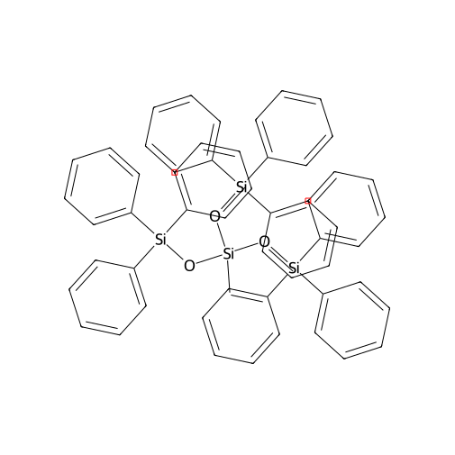 C[Si](O[Si](c1ccccc1)(c1ccccc1)c1ccccc1)(O[Si](c1ccccc1)(c1ccccc1)c1ccccc1)O[Si](c1ccccc1)(c1ccccc1)c1ccccc1